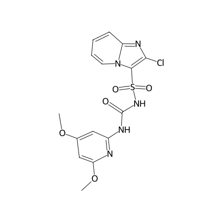 COc1cc(NC(=O)NS(=O)(=O)c2c(Cl)nc3ccccn23)nc(OC)c1